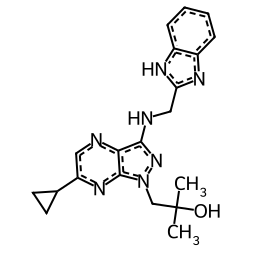 CC(C)(O)Cn1nc(NCc2nc3ccccc3[nH]2)c2ncc(C3CC3)nc21